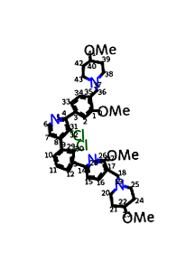 COc1cc(-c2nccc(-c3cccc(-c4ccc(CN5CCC(OC)CC5)c(OC)n4)c3Cl)c2Cl)ccc1CN1CCC(OC)CC1